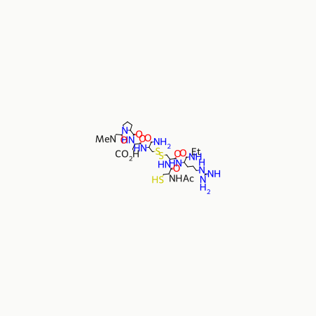 CCNC(=O)C(CCCNC(=N)N)NC(=O)C(CSSCC(NC(=O)C(CC(=O)O)NC(=O)C1CCCN1C(=O)CNC)C(N)=O)NC(=O)C(CS)NC(C)=O